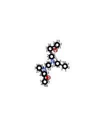 c1ccc(-c2ccc(N(c3ccc(-c4cccc5c4oc4ccccc45)cc3)c3ccc(-n4c5ccccc5c5cc6c(cc54)oc4ccccc46)cc3)cc2)cc1